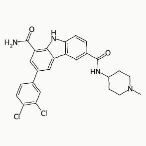 CN1CCC(NC(=O)c2ccc3[nH]c4c(C(N)=O)cc(-c5ccc(Cl)c(Cl)c5)cc4c3c2)CC1